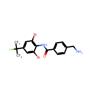 NCc1ccc(C(=O)Nc2c(Br)cc(C(F)(C(F)(F)F)C(F)(F)F)cc2Br)cc1